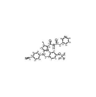 Cc1sc(N(Cc2ccc(OC(F)(F)F)cc2)c2ccc(C#N)cc2)nc1C(=O)N[S+]([O-])Cc1cccnc1